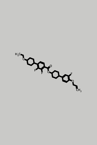 C=CCOc1ccc(C2CCC(OC(=O)c3ccc(C4CCC(OCC)CC4)c(F)c3F)CC2)cc1F